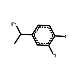 C[C](c1ccc(Cl)c(Cl)c1)C(C)C